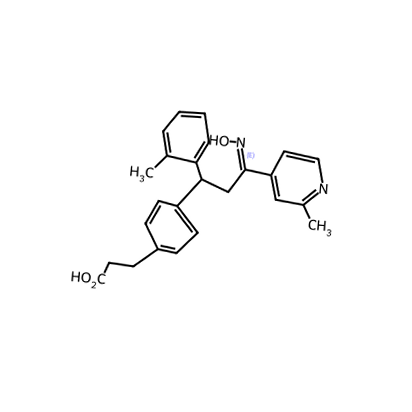 Cc1cc(/C(CC(c2ccc(CCC(=O)O)cc2)c2ccccc2C)=N/O)ccn1